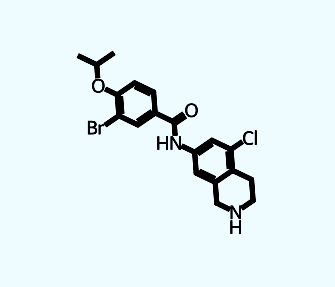 CC(C)Oc1ccc(C(=O)Nc2cc(Cl)c3c(c2)CNCC3)cc1Br